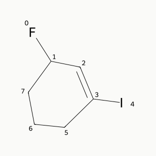 FC1C=C(I)CCC1